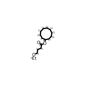 CCOCCCC(=O)OC1CCCCCCCCC1